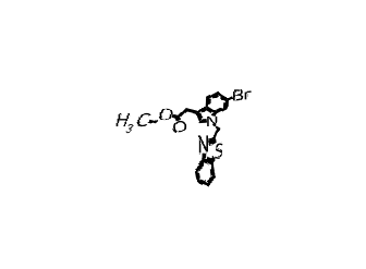 CCOC(=O)Cc1cn(Cc2nc3ccccc3s2)c2cc(Br)ccc12